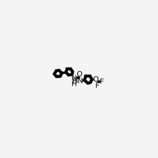 O=C(Nc1ccc(OC(F)F)cc1)Nc1cccc(-c2ccccc2)c1